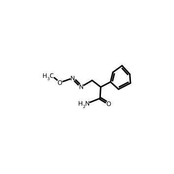 CON=NCC(C(N)=O)c1ccccc1